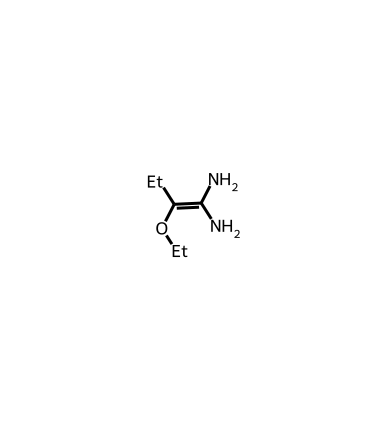 CCOC(CC)=C(N)N